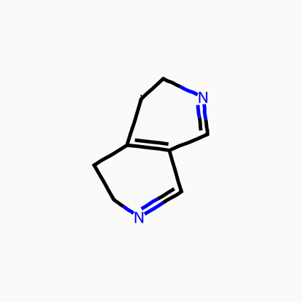 [CH]1CN=CC2=C1CCN=C2